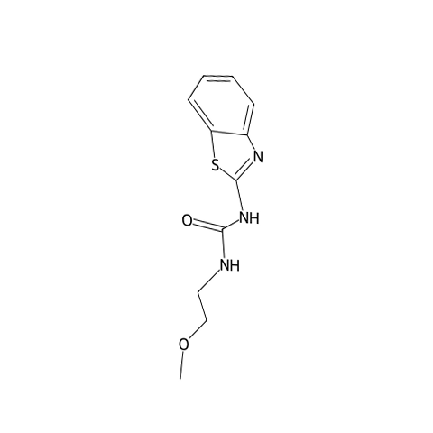 COCCNC(=O)Nc1nc2ccccc2s1